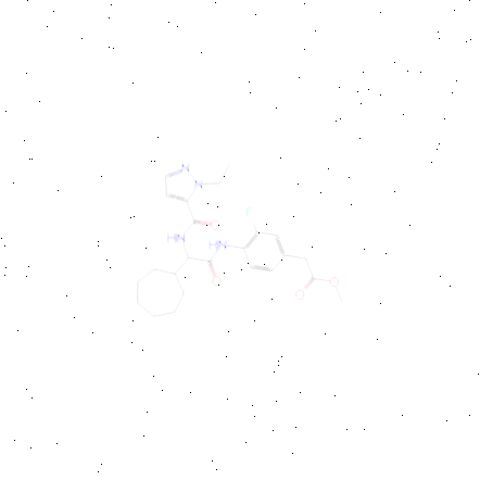 CCn1nccc1C(=O)NC(C(=O)Nc1ccc(CC(=O)OC)cc1F)C1CCCCCC1